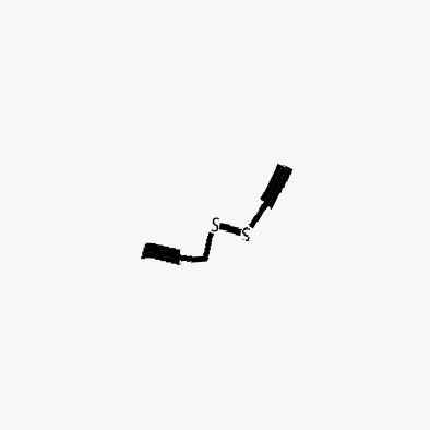 C#CCSSC#C